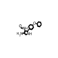 Nc1[c][nH]c(-c2ccc(Oc3ccccc3)cc2)c1NC=O